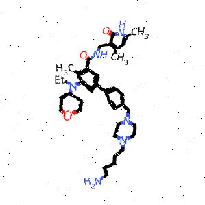 CCN(c1cc(-c2ccc(CN3CCN(CCCCCN)CC3)cc2)cc(C(=O)NCc2c(C)cc(C)[nH]c2=O)c1C)C1CCOCC1